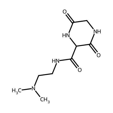 CN(C)CCNC(=O)C1NC(=O)CNC1=O